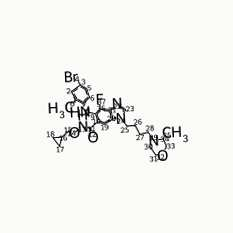 Cc1cc(Br)ccc1Nc1c(C(=O)NOCC2CC2)cc2c(ncn2CCCCN2CCOCC2C)c1F